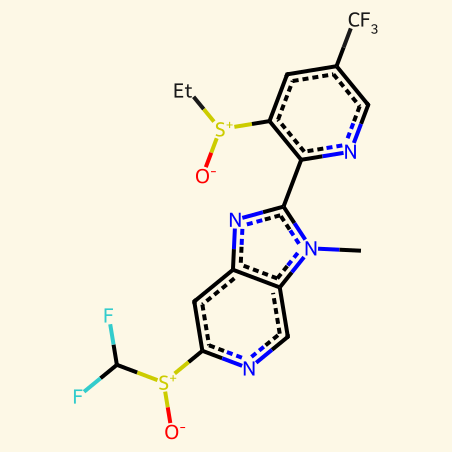 CC[S+]([O-])c1cc(C(F)(F)F)cnc1-c1nc2cc([S+]([O-])C(F)F)ncc2n1C